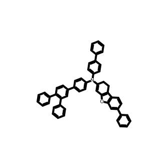 C1=C(N(c2ccc(-c3ccccc3)cc2)c2ccc(-c3ccc(-c4ccccc4)c(-c4ccccc4)c3)cc2)CCc2c1oc1cc(-c3ccccc3)ccc21